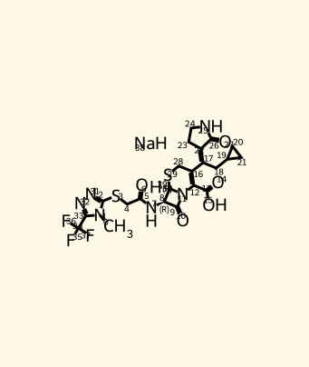 Cn1c(SCC(=O)N[C@@H]2C(=O)N3C(C(=O)O)=C(C(CC4CC4)=C4CCNC4=O)CS[C@H]23)nnc1C(F)(F)F.[NaH]